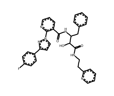 O=C(NC(Cc1ccccc1)C(O)C(=O)NCCc1ccccn1)c1cccnc1-n1ccc(-c2ccc(F)cc2)n1